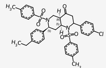 CCc1ccc([C@@H]2C[C@H]3[C@@H](CN2S(=O)(=O)c2ccc(C)cc2)C(=O)CC(c2ccc(Cl)cc2)N3S(=O)(=O)c2ccc(C)cc2)cc1